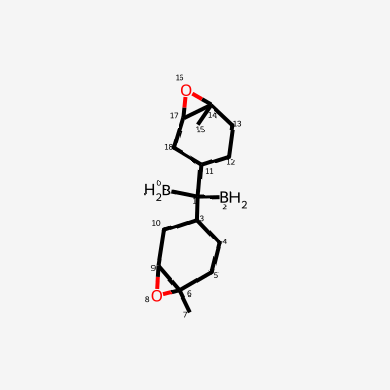 BC(B)(C1CCC2(C)OC2C1)C1CCC2(C)OC2C1